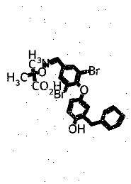 CC(C)(O/N=C\c1cc(Br)c(Oc2ccc(O)c(Cc3ccccc3)c2)c(Br)c1)C(=O)O